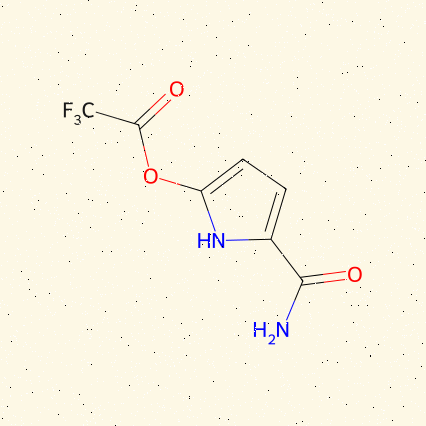 NC(=O)c1ccc(OC(=O)C(F)(F)F)[nH]1